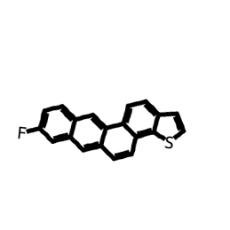 Fc1ccc2cc3c(ccc4c3ccc3ccsc34)cc2c1